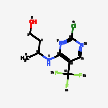 CC(CCO)Nc1nc(Cl)ncc1C(F)(F)F